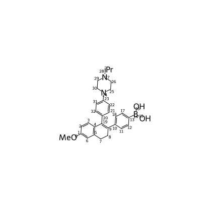 COc1ccc2c(c1)CCC(c1ccc(B(O)O)cc1)=C2c1ccc(N2CCN(C(C)C)CC2)cc1